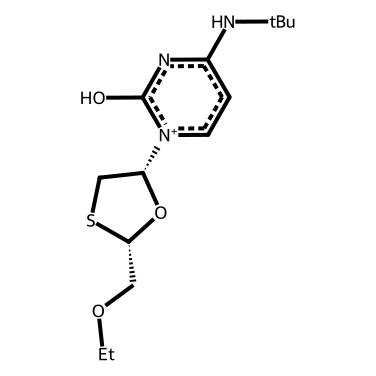 CCOC[C@H]1O[C@@H]([n+]2ccc(NC(C)(C)C)nc2O)CS1